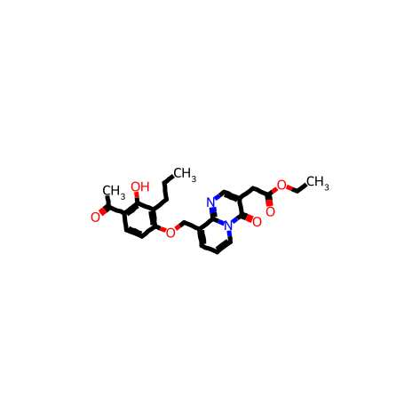 CCCc1c(OCc2cccn3c(=O)c(CC(=O)OCC)cnc23)ccc(C(C)=O)c1O